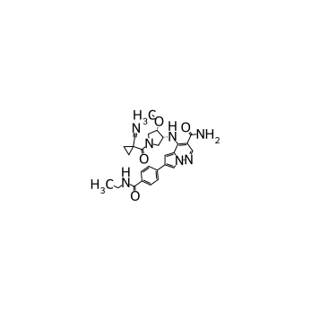 CCNC(=O)c1ccc(-c2cc3c(N[C@@H]4CN(C(=O)C5(C#N)CC5)C[C@@H]4OC)c(C(N)=O)cnn3c2)cc1